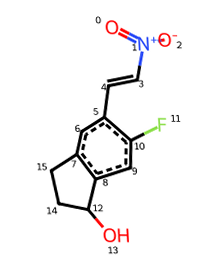 O=[N+]([O-])/C=C/c1cc2c(cc1F)C(O)CC2